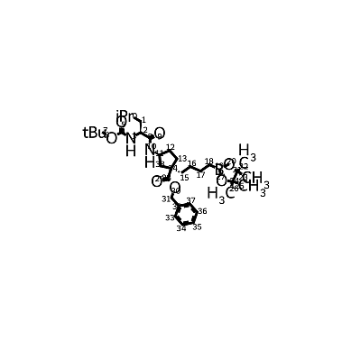 CC(C)C[C@H](NC(=O)OC(C)(C)C)C(=O)N[C@H]1CC[C@@](CCCCB2OC(C)(C)C(C)(C)O2)(C(=O)OCc2ccccc2)C1